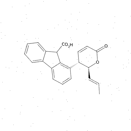 C/C=C/[C@@H]1OC(=O)C=C[C@H]1c1cccc2c1C(C(=O)O)c1ccccc1-2